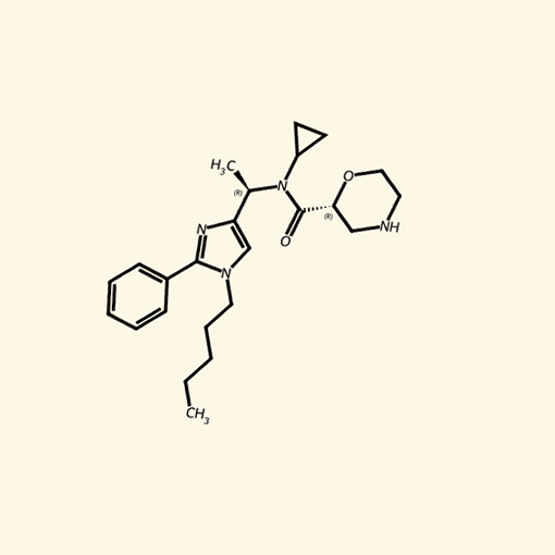 CCCCCn1cc([C@@H](C)N(C(=O)[C@H]2CNCCO2)C2CC2)nc1-c1ccccc1